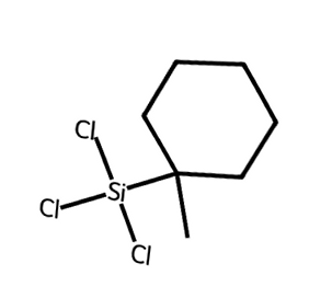 CC1([Si](Cl)(Cl)Cl)CCCCC1